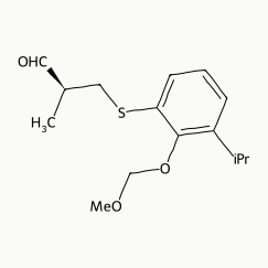 COCOc1c(SC[C@@H](C)C=O)cccc1C(C)C